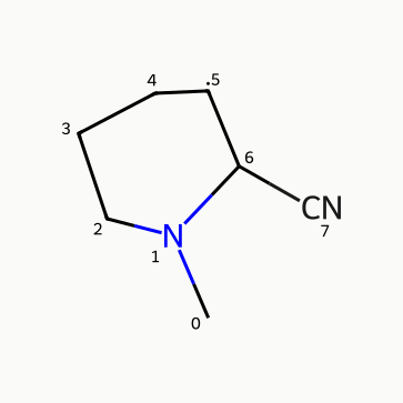 CN1CCC[CH]C1C#N